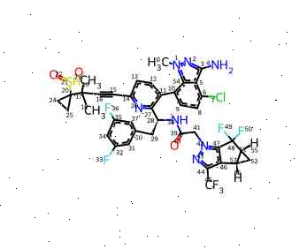 Cn1nc(N)c2c(Cl)ccc(-c3ccc(C#CC(C)(C)C4([SH](=O)=O)CC4)nc3[C@H](Cc3cc(F)cc(F)c3)NC(=O)Cn3nc(C(F)(F)F)c4c3C(F)(F)[C@@H]3C[C@H]43)c21